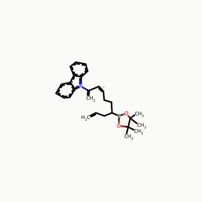 C=CCC(CC/C=C\C(=C)n1c2ccccc2c2ccccc21)B1OC(C)(C)C(C)(C)O1